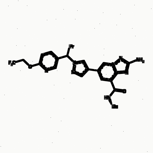 CC[C@H](C)NC(=O)c1cc(-c2cnn(C(c3ccc(OCC(F)(F)F)nc3)C(C)C)c2)cn2nc(N)nc12